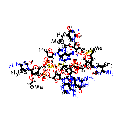 CC[C@H]1O[C@@H](n2cnc3c(N)ncnc32)C[C@H]1OP(=O)(S)OC[C@H]1O[C@@H](n2cc(C)c(N)nc2=O)C(OCCOC)[C@H]1OP(=O)(O)OC[C@H]1O[C@@H](n2cnc3c(N)ncnc32)C(OCCOC)[C@H]1OP(=O)(S)OC[C@H]1O[C@@H](n2cnc3c(=O)[nH]c(N)nc32)C(OCCOC)[C@H]1OP(=O)(O)OC[C@H]1O[C@@H](n2cc(C)c(N)nc2=O)C(CCCOC)[C@H]1OP(=O)(S)OC[C@H]1O[C@@H](n2cc(C)c(=O)[nH]c2=O)C(OCCOC)[C@H]1O